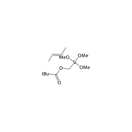 CC=CC.CO[Si](COC(=O)C(C)(C)C)(OC)OC